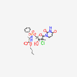 CCCCOC(=O)C(C)NP(=O)(OC[C@H]1O[C@@H](n2ccc(=O)[nH]c2=O)[C@](C)(Cl)[C@@H]1O)Oc1ccccc1